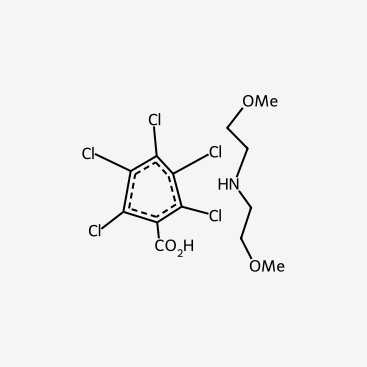 COCCNCCOC.O=C(O)c1c(Cl)c(Cl)c(Cl)c(Cl)c1Cl